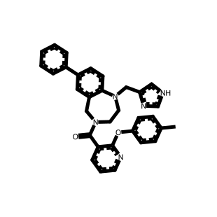 Cc1ccc(Oc2ncccc2C(=O)N2CCN(Cc3c[nH]cn3)c3ccc(-c4ccccc4)cc3C2)cc1